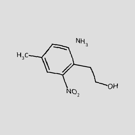 Cc1ccc(CCO)c([N+](=O)[O-])c1.N